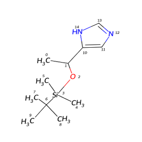 CC(O[Si](C)(C)C(C)(C)C)c1cnc[nH]1